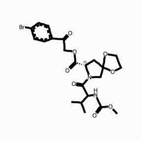 COC(=O)NC(C(=O)N1CC2(C[C@H]1C(=O)OCC(=O)c1ccc(Br)cc1)OCCO2)C(C)C